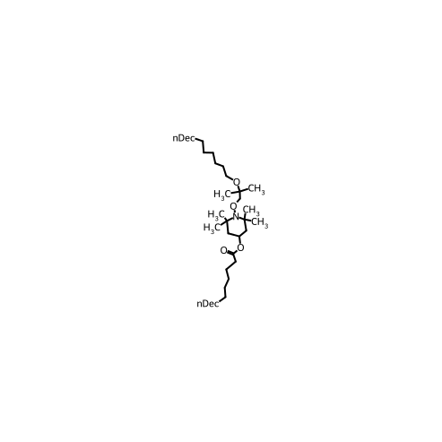 CCCCCCCCCCCCCCCCOC(C)(C)CON1C(C)(C)CC(OC(=O)CCCCCCCCCCCCCCC)CC1(C)C